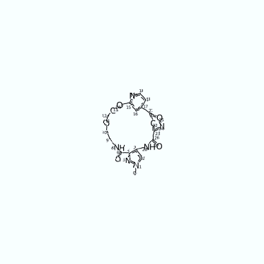 Cn1cc2c(n1)C(=O)NCCOCCOc1cc(ccn1)-c1cc(no1)C(=O)N2